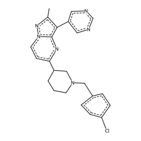 Cc1nn2ccc(C3CCCN(Cc4ccc(Cl)cc4)C3)nc2c1-c1cncnc1